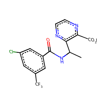 CC(NC(=O)c1cc(Cl)cc(C(F)(F)F)c1)c1nccnc1C(=O)O